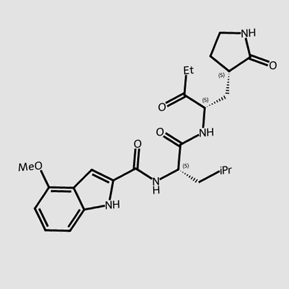 CCC(=O)[C@H](C[C@@H]1CCNC1=O)NC(=O)[C@H](CC(C)C)NC(=O)c1cc2c(OC)cccc2[nH]1